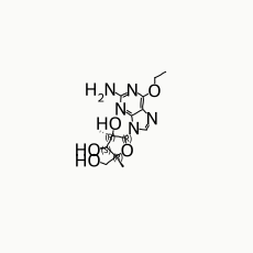 CCOc1nc(N)nc2c1ncn2[C@@H]1O[C@](C)(CO)[C@@H](O)[C@@]1(C)O